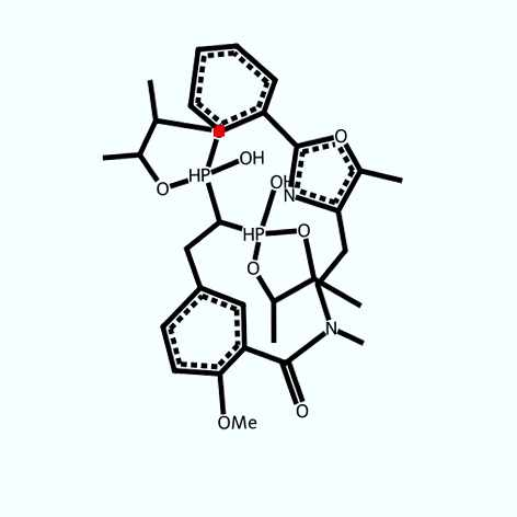 COc1ccc(CC([PH]2(O)OC(C)C(C)O2)[PH]2(O)OC(C)C(C)O2)cc1C(=O)N(C)CCc1nc(-c2ccccc2)oc1C